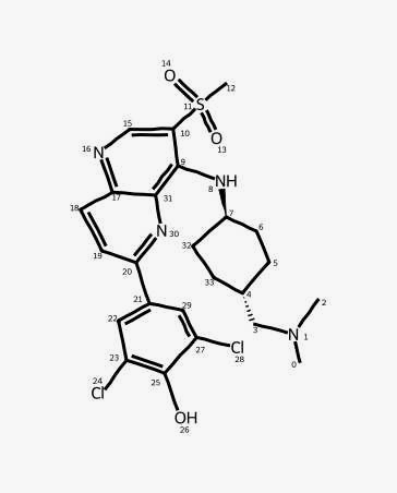 CN(C)C[C@H]1CC[C@H](Nc2c(S(C)(=O)=O)cnc3ccc(-c4cc(Cl)c(O)c(Cl)c4)nc23)CC1